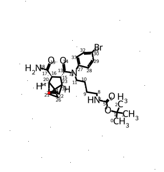 CC(C)(C)OC(=O)NCCCCN(C(=O)[C@H]1[C@H](C(N)=O)[C@@H]2C=C[C@H]1C21CC1)c1ccc(Br)cc1